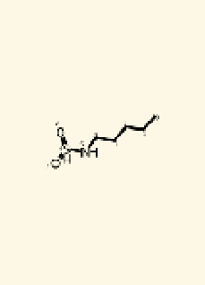 [CH2]CCCCN[SH](=O)=O